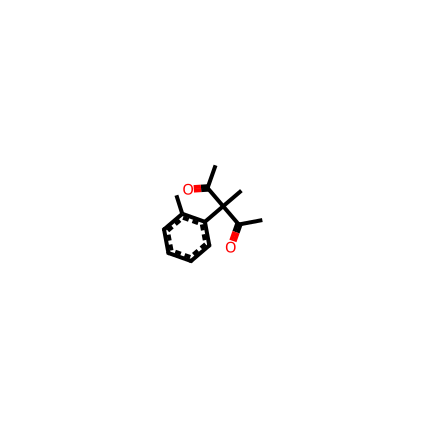 CC(=O)C(C)(C(C)=O)c1ccccc1C